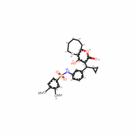 COc1ccc(S(=O)(=O)Nc2cccc(C(c3c(O)c4c(oc3=O)CCCCCC4)C3CC3)c2)cc1OC